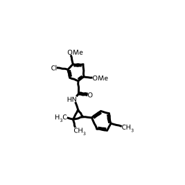 COc1cc(OC)c(C(=O)NC2C(c3ccc(C)cc3)C2(C)C)cc1Cl